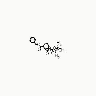 CC(C)(C)OC(=O)N1C(=O)C2CC1CCC2C(=O)OCc1ccccc1